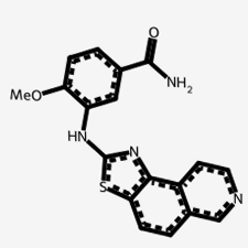 COc1ccc(C(N)=O)cc1Nc1nc2c(ccc3cnccc32)s1